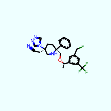 C[C@@H](OC[C@@]1(c2ccccc2)CC[C@](CC#N)(n2cnnc2)CN1)c1cc(CF)cc(C(F)(F)F)c1